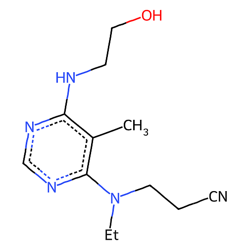 CCN(CCC#N)c1ncnc(NCCO)c1C